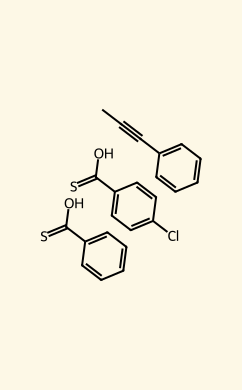 CC#Cc1ccccc1.OC(=S)c1ccc(Cl)cc1.OC(=S)c1ccccc1